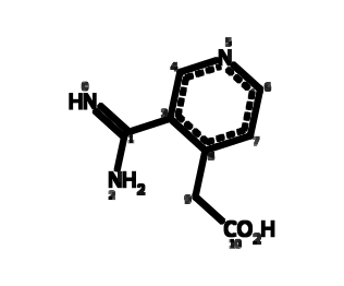 N=C(N)c1cnccc1CC(=O)O